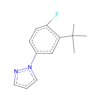 CC(C)(C)c1cc(-n2cccn2)ccc1F